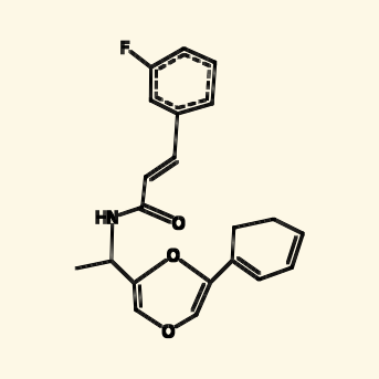 CC(NC(=O)C=Cc1cccc(F)c1)C1=COC=C(C2=CC=CCC2)O1